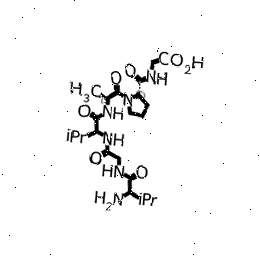 CC(C)C(N)C(=O)NCC(=O)NC(C(=O)N[C@@H](C)C(=O)N1CCC[C@H]1C(=O)NCC(=O)O)C(C)C